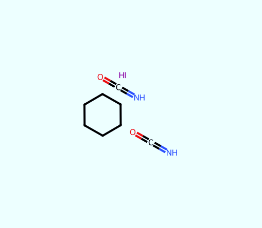 C1CCCCC1.I.N=C=O.N=C=O